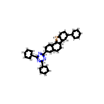 c1ccc(-c2ccc3sc4c5ccc(-c6nc(-c7ccccc7)nc(-c7ccccc7)n6)cc5ccc4c3c2)cc1